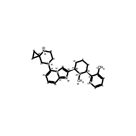 Cc1cccnc1[C@@H]1CCC[C@H](c2cn3c(N4CCNC5(CC5)C4)cccc3n2)N1C